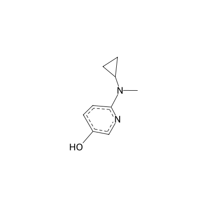 CN(c1ccc(O)cn1)C1CC1